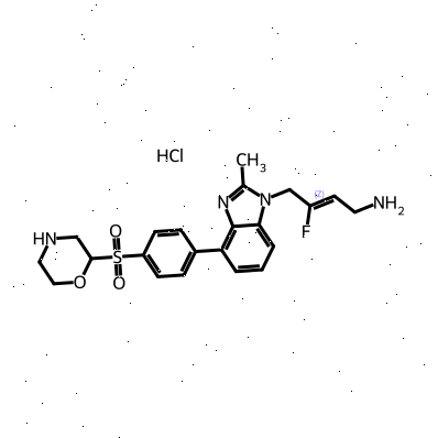 Cc1nc2c(-c3ccc(S(=O)(=O)C4CNCCO4)cc3)cccc2n1C/C(F)=C/CN.Cl